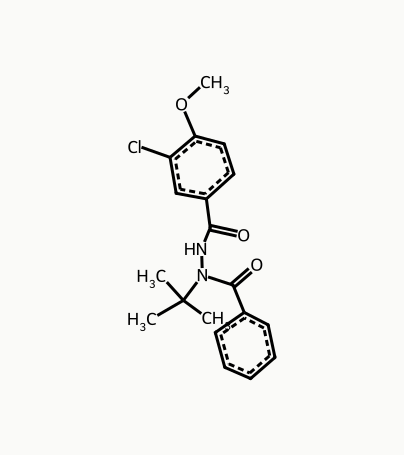 COc1ccc(C(=O)NN(C(=O)c2ccccc2)C(C)(C)C)cc1Cl